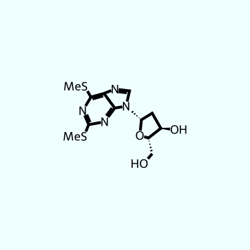 CSc1nc(SC)c2ncn([C@@H]3C[C@@H](O)[C@H](CO)O3)c2n1